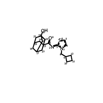 O=C(N=c1sccn1CC1CCC1)C12CC3CC(CC(O)(C3)C1)C2